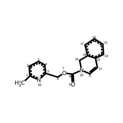 Cc1cccc(COC(=O)N2C=Cc3ccccc3C2)n1